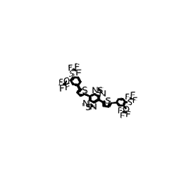 FC(F)(F)Oc1cc(-c2ccc(-c3c4c(c(-c5ccc(-c6ccc(SC(F)(F)F)c(OC(F)(F)F)c6)s5)c5nsnc35)N=S=N4)s2)ccc1SC(F)(F)F